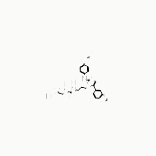 O=C(O)CNC(=O)NCCCn1c(-c2ccc3c(c2)OCO3)csc1=Nc1ccc(OC(F)(F)F)cc1